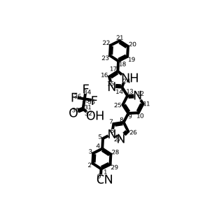 N#Cc1ccc(Cn2cc(-c3ccnc(-c4ncc(-c5ccccc5)[nH]4)c3)cn2)cc1.O=C(O)C(F)(F)F